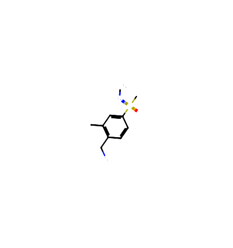 Cc1cc(S(C)(=O)=NC#N)ccc1CN